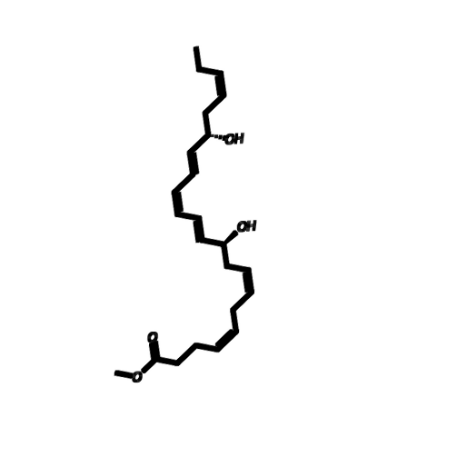 CC/C=C\C[C@H](O)/C=C/C=C\C=C\[C@@H](O)C/C=C\C/C=C\CCC(=O)OC